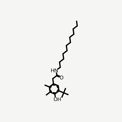 CCCCCCCCCCCCNC(=O)Cc1cc(C(C)(C)C)c(O)c(C)c1C